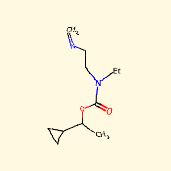 C=NCCN(CC)C(=O)OC(C)C1CC1